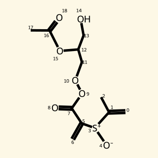 C=C(C)[S+]([O-])C(=C)C(=O)OOCC(CO)OC(C)=O